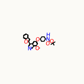 COc1cc(O[C@H]2CC[C@H](NC(=O)OC(C)(C)C)CC2)cc2c(-c3cc4ccccc4o3)cncc12